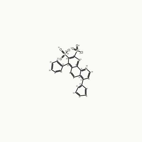 O=S(=O)(Cl)c1nc2c(ccc3c(-c4ccccc4)ccnc32)c(-c2ccccc2)c1S(=O)(=O)Cl